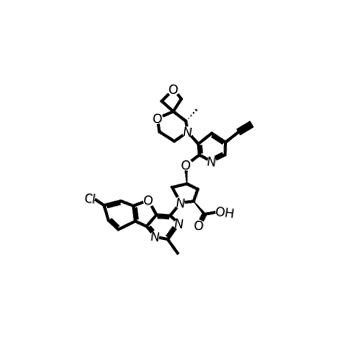 C#Cc1cnc(O[C@H]2C[C@@H](C(=O)O)N(c3nc(C)nc4c3oc3cc(Cl)ccc34)C2)c(N2CCOC3(COC3)[C@@H]2C)c1